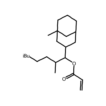 C=CC(=O)OC(C(C)CCC(C)CC)C1CC2CCCC(C)(C2)C1